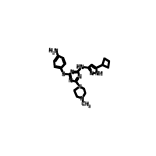 CN1CCN(c2nc(Nc3cc(C4CCC4)[nH]n3)nc(Sc3ccc(N)cc3)n2)CC1